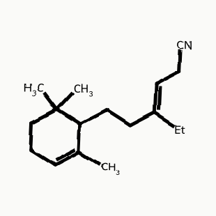 CCC(=CCC#N)CCC1C(C)=CCCC1(C)C